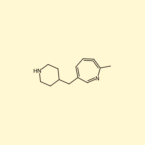 CC1=C=CC=C(CC2CCNCC2)C=N1